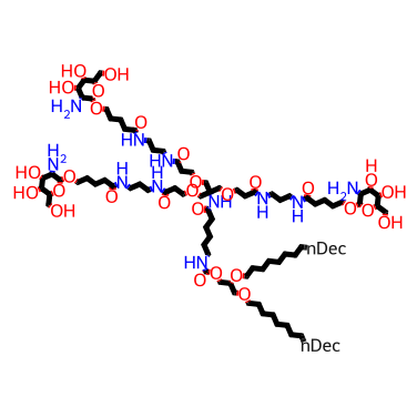 CCCCCCCCCCCCCCCCCCOCC(COC(=O)NCCCCCC(=O)NC(COCCC(=O)NCCCNC(=O)CCCCOC1OC(CO)C(O)C(O)C1N)(COCCC(=O)NCCCNC(=O)CCCCOC1OC(CO)C(O)C(O)C1N)COCCC(=O)NCCCNC(=O)CCCCOC1OC(CO)C(O)C(O)C1N)OCCCCCCCCCCCCCCCCCC